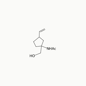 C=CC1CCC(CO)(NC(C)=O)C1